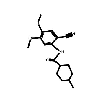 COc1cc(C#N)c(NC(=O)C2CCC(C)CC2)cc1OC